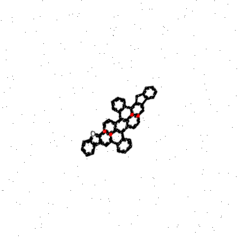 c1ccc2c(c1)Cc1c-2cccc1-c1ccccc1-c1c2ccccc2c(-c2ccccc2-c2ccc3oc4ccccc4c3c2)c2ccccc12